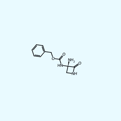 N[C@]1(NC(=O)OCc2ccccc2)CNC1=O